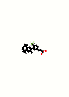 Cc1cc2c(cc1-c1cc(/C=C/C(=O)O)ccc1C(F)(F)F)C(C)(C)CCC2(C)C